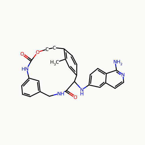 Cc1cc2ccc1CCOC(=O)Nc1cccc(c1)CNC(=O)C2Nc1ccc2c(N)nccc2c1